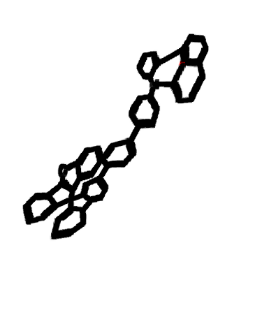 c1ccc(-c2ccccc2N(c2ccccc2)c2ccc(-c3ccc(-c4ccc5c(c4)C4(c6ccccc6-5)c5ccccc5-c5oc6ccccc6c54)cc3)cc2)cc1